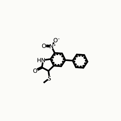 CSC1C(=O)Nc2c1cc(-c1ccccc1)cc2[N+](=O)[O-]